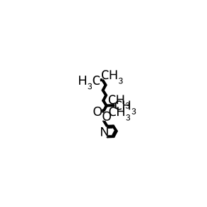 CC(C)CCCCC(C(=O)OCc1ccccn1)C(C)(C)C